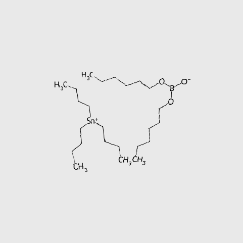 CCCCCCOB([O-])OCCCCCC.CCC[CH2][Sn+]([CH2]CCC)[CH2]CCC